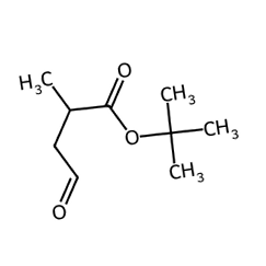 CC(CC=O)C(=O)OC(C)(C)C